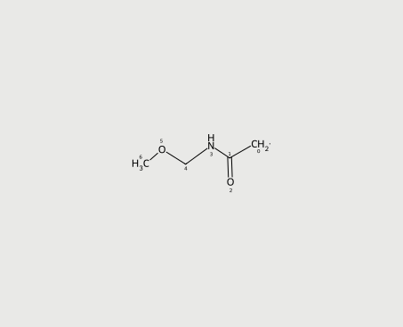 [CH2]C(=O)NCOC